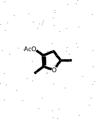 CC(=O)OC1=C(C)OC(C)C1